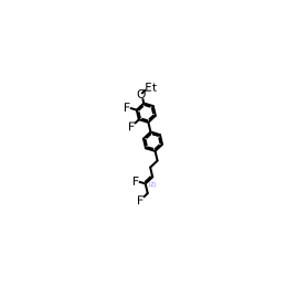 CCOc1ccc(-c2ccc(CC/C=C(\F)CF)cc2)c(F)c1F